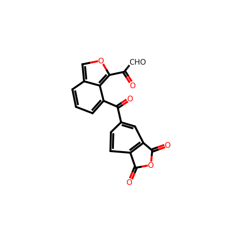 O=CC(=O)c1occ2cccc(C(=O)c3ccc4c(c3)C(=O)OC4=O)c12